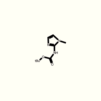 Cn1ccnc1NC(=O)OC(C)(C)C